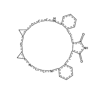 O=c1[nH]c(=O)c2cc3ccccc3[nH]ccoc3c(oc4c(nccnc5ccccc5cc1-2)C4)C3